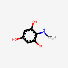 O=C(O)Nc1c(O)cc(O)cc1O